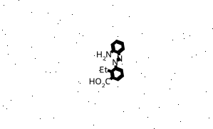 CCc1c(N=Nc2ccccc2N)cccc1C(=O)O